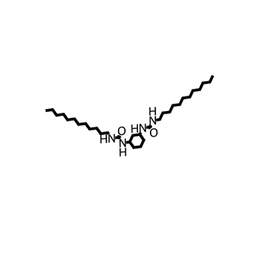 CCCCCCCCCCCCNC(=O)NC1CCCC(NC(=O)NCCCCCCCCCCCC)C1